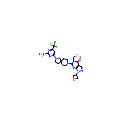 CCn1c(N2CCC3(CCN(c4cc(C(F)(F)F)nc(C)n4)C3)CC2)nc2c(cnn2C2COC2)c1=O